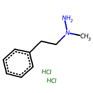 CN(N)CCc1ccccc1.Cl.Cl